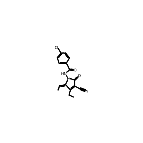 CC=C1C(CC)=C(C#N)C(=O)N1NC(=O)c1ccc(Cl)cc1